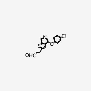 O=CCCc1cc2c(Oc3ccc(Cl)cc3)cncc2s1